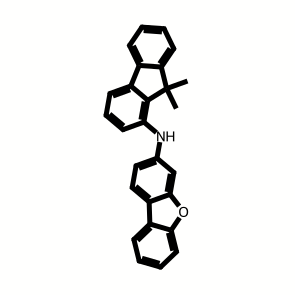 CC1(C)c2ccccc2-c2cccc(Nc3ccc4c(c3)oc3ccccc34)c21